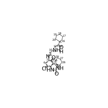 O=C1Nc2c(Cl)cc3nc(CNCC(O)C4CCCCC4)oc3c2C2(CCCCC2)N1